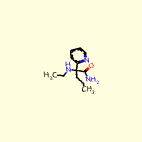 CCCC(NCC)(C(N)=O)c1ccccn1